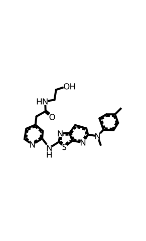 Cc1ccc(N(C)c2ccc3nc(Nc4cc(CC(=O)NCCO)ccn4)sc3n2)cc1